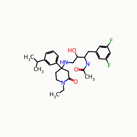 CCN1CCC(NCC(O)C(Cc2cc(F)cc(F)c2)[N]C(C)=O)(c2cccc(C(C)C)c2)CC1=O